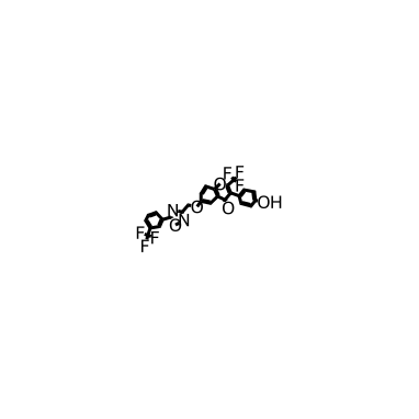 O=c1c(-c2ccc(O)cc2)c(C(F)(F)F)oc2ccc(OCc3noc(-c4cccc(C(F)(F)F)c4)n3)cc12